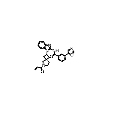 C=CC(=O)N1CC[C@]2(C1)C[C@H](n1c(NC(=O)c3cccc(-c4cnco4)c3)nc3ccccc31)C2